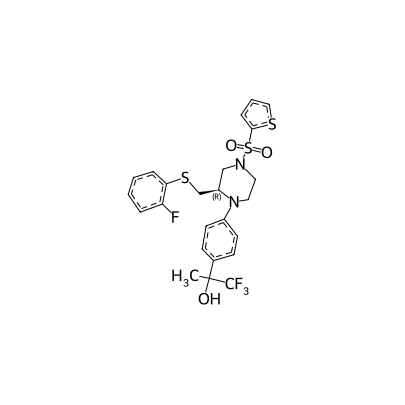 CC(O)(c1ccc(N2CCN(S(=O)(=O)c3cccs3)C[C@@H]2CSc2ccccc2F)cc1)C(F)(F)F